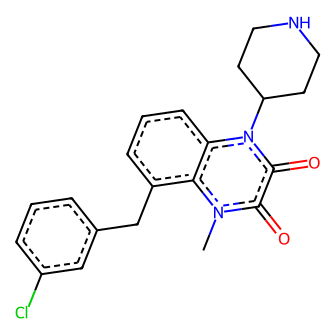 Cn1c(=O)c(=O)n(C2CCNCC2)c2cccc(Cc3cccc(Cl)c3)c21